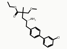 CCOC(=O)C(C)(COC)C[C@H](N)Cc1ccc(-c2cccc(Cl)c2)cc1